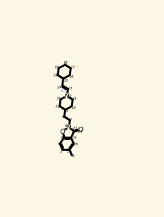 Cc1ccc2on(CCC3CCN(/C=C/C4CCCCC4)CC3)c(=O)c2c1